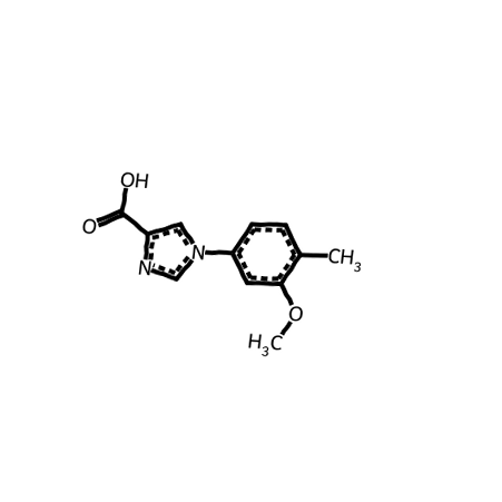 COc1cc(-n2cnc(C(=O)O)c2)ccc1C